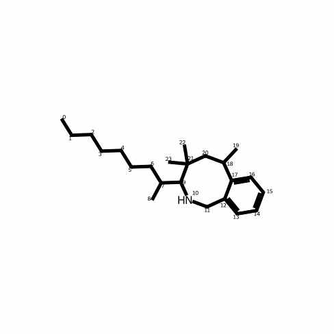 CCCCCCCC(C)C1NCc2ccccc2C(C)CC1(C)C